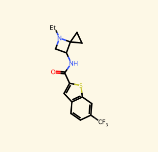 CCN1CC(NC(=O)c2cc3ccc(C(F)(F)F)cc3s2)C12CC2